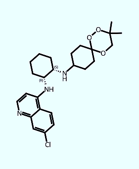 CC1(C)COC2(CCC(N[C@H]3CCCC[C@H]3Nc3ccnc4cc(Cl)ccc34)CC2)OO1